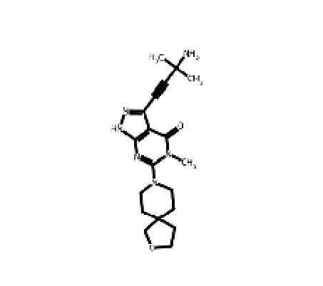 Cn1c(N2CCC3(CCOC3)CC2)nc2[nH]nc(C#CC(C)(C)N)c2c1=O